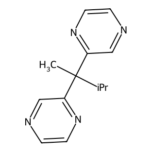 CC(C)C(C)(c1cnccn1)c1cnccn1